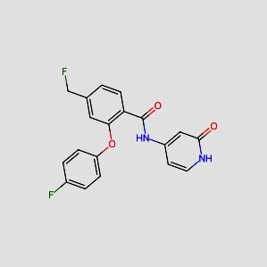 O=C(Nc1cc[nH]c(=O)c1)c1ccc(CF)cc1Oc1ccc(F)cc1